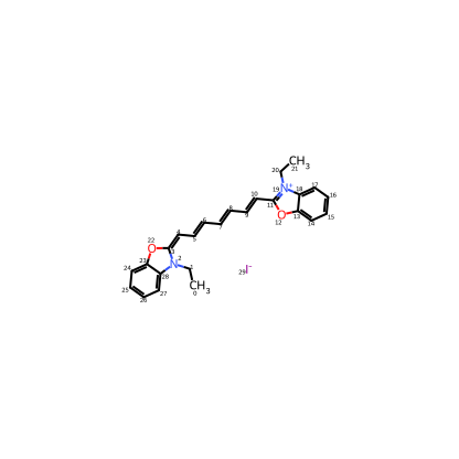 CCN1C(=CC=CC=CC=Cc2oc3ccccc3[n+]2CC)Oc2ccccc21.[I-]